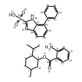 CC1CCC(C(C)C)C(OC(=O)c2ccccc2N)C1.O=S(=O)(O)c1nc2cccc(-c3ccccc3)c2[nH]1